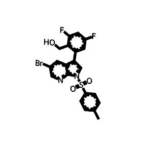 Cc1ccc(S(=O)(=O)n2cc(-c3cc(F)cc(F)c3CO)c3cc(Br)cnc32)cc1